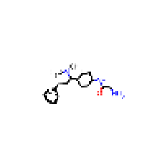 CN(C)C(CCc1ccccc1)C1CCC(NC(=O)CN)CC1